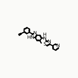 C#Cc1cccc(-c2nc3cc(Nc4nc(-c5cccnc5)cs4)c(C)cc3[nH]2)c1